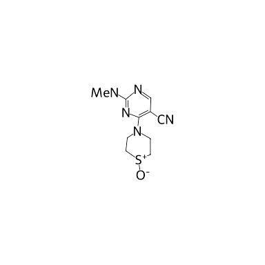 CNc1ncc(C#N)c(N2CC[S+]([O-])CC2)n1